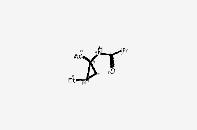 CC[C@@H]1CC1(NC(=O)C(C)C)C(C)=O